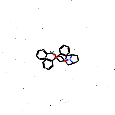 N#CC(CC1CC2CCC(C1)N2CCOCc1ccccc1)(c1ccccc1)c1ccccc1